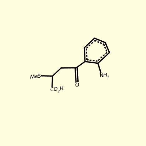 CSC(CC(=O)c1ccccc1N)C(=O)O